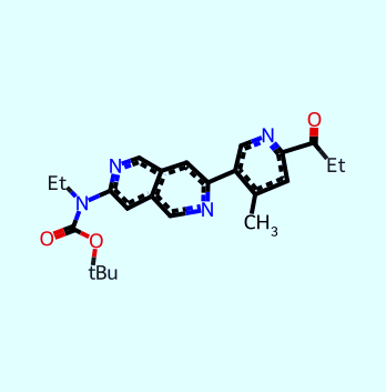 CCC(=O)c1cc(C)c(-c2cc3cnc(N(CC)C(=O)OC(C)(C)C)cc3cn2)cn1